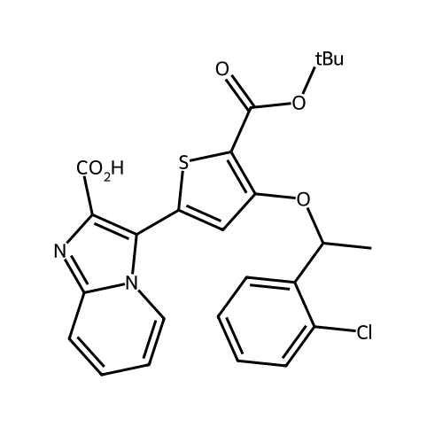 CC(Oc1cc(-c2c(C(=O)O)nc3ccccn23)sc1C(=O)OC(C)(C)C)c1ccccc1Cl